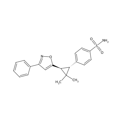 CC1(C)[C@@H](c2ccc(S(N)(=O)=O)cc2)[C@@H]1c1cc(-c2ccccc2)no1